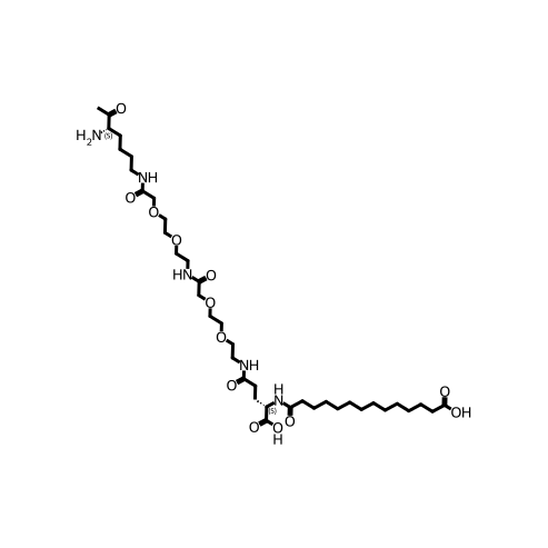 CC(=O)[C@@H](N)CCCCNC(=O)COCCOCCNC(=O)COCCOCCNC(=O)CC[C@H](NC(=O)CCCCCCCCCCCCC(=O)O)C(=O)O